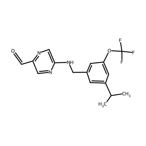 CC(C)c1cc(CNc2cnc(C=O)cn2)cc(OC(F)(F)F)c1